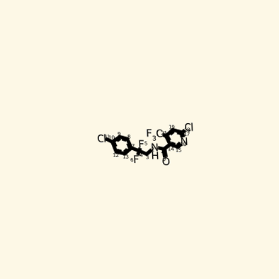 O=C(NCC(F)(F)c1ccc(Cl)cc1)c1cnc(Cl)cc1C(F)(F)F